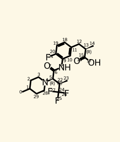 CC1CCN([C@@H](C(=O)Nc2cc(C[C@@H](C)C(=O)O)ccc2F)[C@@H](C)C(F)(F)F)CC1